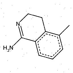 Cc1cccc2c1CCN=C2N